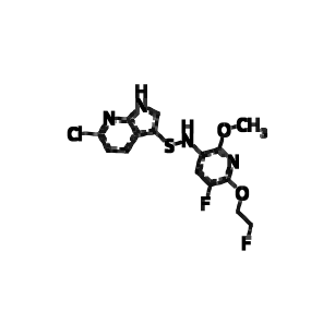 COc1nc(OCCF)c(F)cc1NSc1c[nH]c2nc(Cl)ccc12